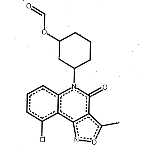 Cc1onc2c1c(=O)n(C1CCCC(OC=O)C1)c1cccc(Cl)c21